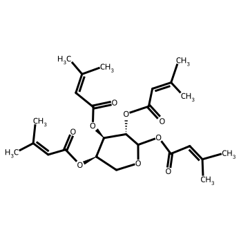 CC(C)=CC(=O)OC1OC[C@@H](OC(=O)C=C(C)C)[C@@H](OC(=O)C=C(C)C)[C@@H]1OC(=O)C=C(C)C